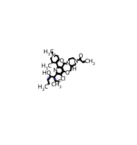 C=C/C=C(O)\C(=C(/C)F)c1nc(C2=CCN(C)CC2C)c2c(c1Cl)OC[C@H]1CN(C(=O)C=C)CCN1C2=O